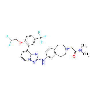 CN(C)C(=O)CN1CCc2ccc(Nc3nc4c(-c5cc(C(F)(F)F)ccc5OCC(F)F)cccn4n3)cc2CC1